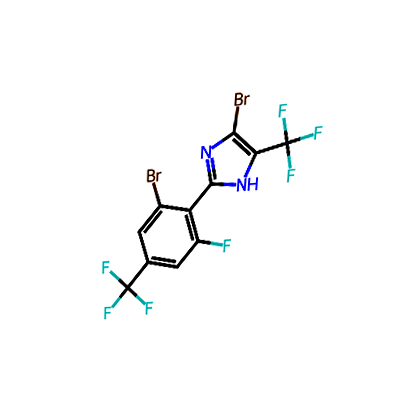 Fc1cc(C(F)(F)F)cc(Br)c1-c1nc(Br)c(C(F)(F)F)[nH]1